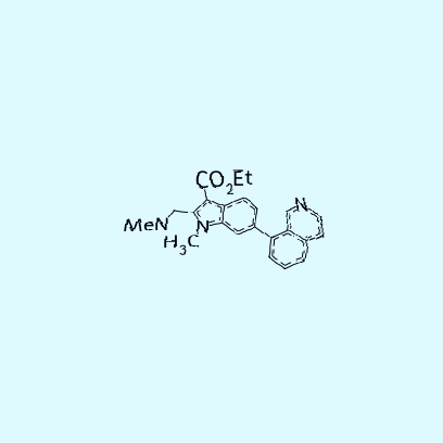 CCOC(=O)c1c(CNC)n(C)c2cc(-c3cccc4ccncc34)ccc12